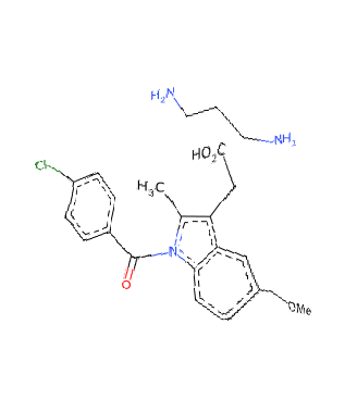 COc1ccc2c(c1)c(CC(=O)O)c(C)n2C(=O)c1ccc(Cl)cc1.NCCCN